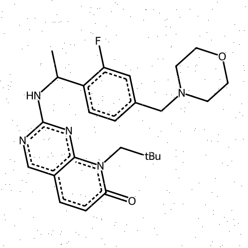 CC(Nc1ncc2ccc(=O)n(CC(C)(C)C)c2n1)c1ccc(CN2CCOCC2)cc1F